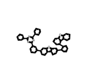 c1ccc(-c2nc(-c3ccccc3)nc(-c3cccc(-c4ccc5c(c4)oc4cc(-c6ccccc6-c6cccc7oc8ccccc8c67)ccc45)c3)n2)cc1